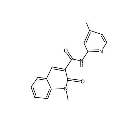 Cc1ccnc(NC(=O)c2cc3ccccc3n(C)c2=O)c1